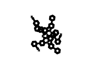 N#Cc1ccc(-c2ccc(-c3nc(-c4cc(-c5ccccc5C#N)ccc4-n4c5ccc(-c6ccccc6)cc5c5cc(-c6ccccc6)ccc54)nc(-c4cc(-c5ccccc5C#N)ccc4-n4c5ccc(-c6ccccc6)cc5c5cc(-c6ccccc6)ccc54)n3)cc2)cc1